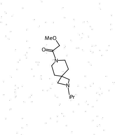 COCC(=O)N1CCC2(CC1)CN(C(C)C)C2